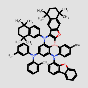 Cc1cccc(N(c2cc3c4c(c2)N(c2cccc5c2oc2ccccc25)c2ccc(C(C)(C)C)cc2B4c2oc4cc5c(cc4c2N3c2ccc3c(c2)C(C)(C)CCC3(C)C)C(C)(C)CCC5(C)C)c2ccccc2C)c1